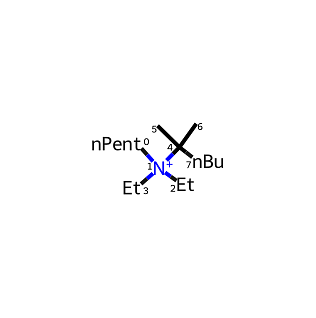 CCCCC[N+](CC)(CC)C(C)(C)CCCC